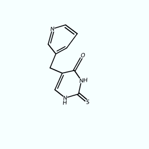 O=c1[nH]c(=S)[nH]cc1Cc1cccnc1